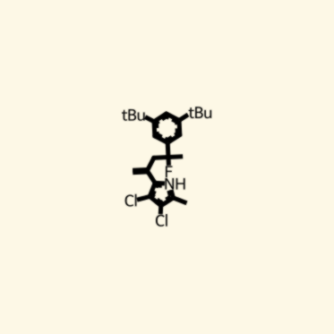 C=C(CC(C)(F)c1cc(C(C)(C)C)cc(C(C)(C)C)c1)c1[nH]c(C)c(Cl)c1Cl